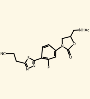 CC(=O)NCC1CN(c2ccc(-c3nnc(CCC#N)s3)c(F)c2)C(=O)O1